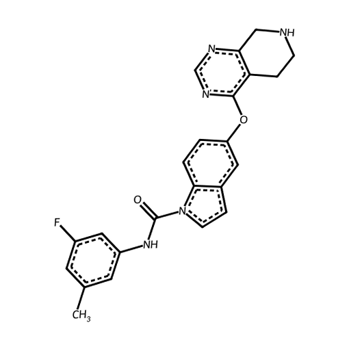 Cc1cc(F)cc(NC(=O)n2ccc3cc(Oc4ncnc5c4CCNC5)ccc32)c1